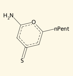 CCCCCc1cc(=S)cc(N)o1